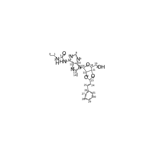 CCNC(=O)Nc1ncnc2c1nc(I)n2C1OC(CO)C2OC(C=Cc3ccccc3)OC21